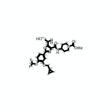 COC(=O)N1CCC(NC(=O)c2nc(-c3ccc(OC(F)F)c(OCC4CC4)c3)oc2C(C)N)CC1.Cl